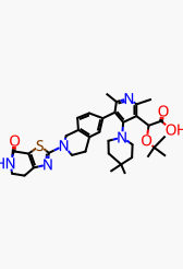 Cc1nc(C)c(C(OC(C)(C)C)C(=O)O)c(N2CCC(C)(C)CC2)c1-c1ccc2c(c1)CCN(c1nc3c(s1)C(=O)NCC3)C2